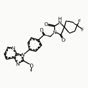 COc1nc2cccnc2n1-c1ccc(C(=O)CN2C(=O)NC3(CCC(F)(F)CC3)C2=O)cc1